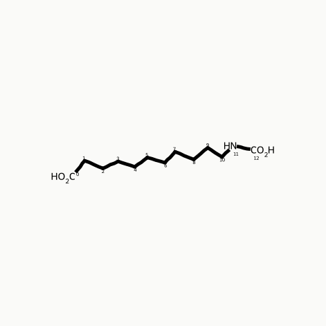 O=C(O)CCCCCCCCCCNC(=O)O